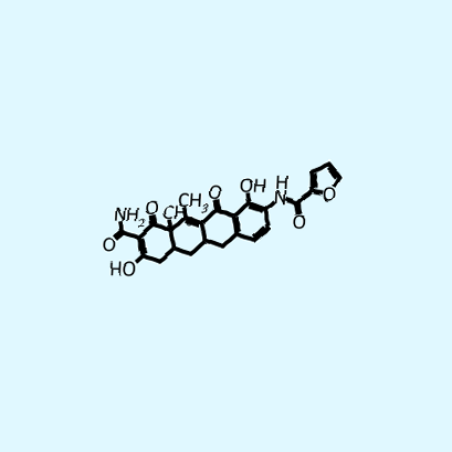 CC1=C2C(=O)c3c(ccc(NC(=O)c4ccco4)c3O)CC2CC2CC(O)=C(C(N)=O)C(=O)C12C